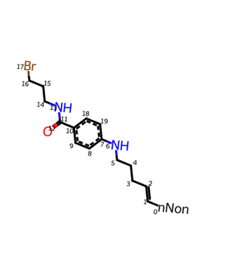 CCCCCCCCC/C=C/CCCNc1ccc(C(=O)NCCCBr)cc1